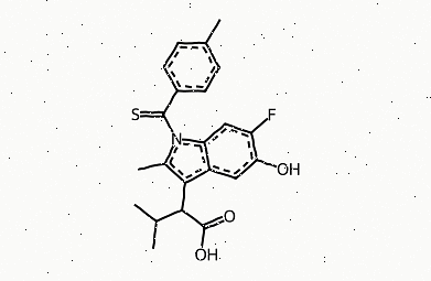 Cc1ccc(C(=S)n2c(C)c(C(C(=O)O)C(C)C)c3cc(O)c(F)cc32)cc1